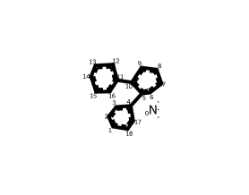 [N].c1ccc(-c2ccccc2-c2ccccc2)cc1